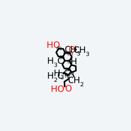 C=C[C@H](CCC(=O)O)[C@@]1(C=C)CCC2[C@@H]3C[C@@H](OC)[C@]4(C)C[C@H](O)CC[C@]4(C)C3CC[C@@]21C